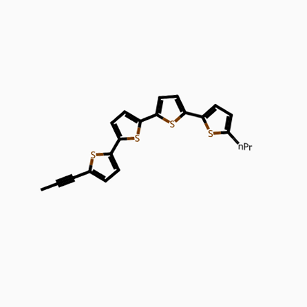 CC#Cc1ccc(-c2ccc(-c3ccc(-c4ccc(CCC)s4)s3)s2)s1